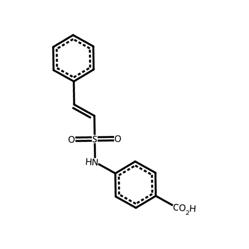 O=C(O)c1ccc(NS(=O)(=O)/C=C/c2ccccc2)cc1